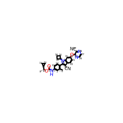 Cc1cc(NC(=O)O[C@H](C)C2CC2)ccc1-c1c(C#N)c2ccc(Oc3nccnc3C#N)cc2n1C1CCC1